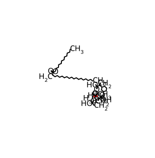 C=C(C(=O)O)C1CCCCC1.C=C(C(=O)O)C1C[C@H]2CC[C@@]1(C)C2(C)C.C=C(CCCCCCCCCCCCCCCCCC)C(=O)OCCCCCCCCCCCC.C=CC(=O)O